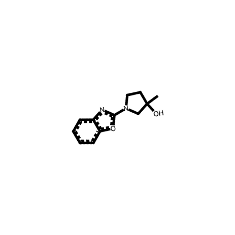 CC1(O)CCN(c2nc3ccccc3o2)C1